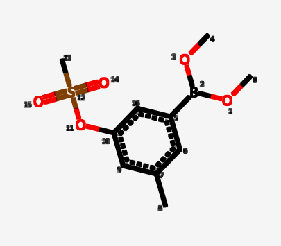 COB(OC)c1cc(C)cc(OS(C)(=O)=O)c1